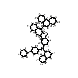 c1ccc(-c2ccc(N(c3ccc4oc5c(-c6cc7ccccc7c7ccccc67)c6ccccc6cc5c4c3)c3cccc4ccccc34)cc2)cc1